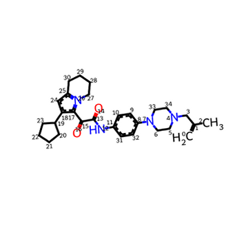 C=C(C)CN1CCN(c2ccc(NC(=O)C(=O)c3c(C4CCCC4)cc4n3CCCC4)cc2)CC1